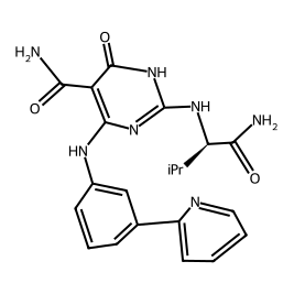 CC(C)[C@@H](Nc1nc(Nc2cccc(-c3ccccn3)c2)c(C(N)=O)c(=O)[nH]1)C(N)=O